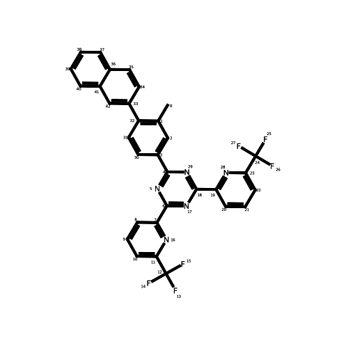 Cc1cc(-c2nc(-c3cccc(C(F)(F)F)n3)nc(-c3cccc(C(F)(F)F)n3)n2)ccc1-c1ccc2ccccc2c1